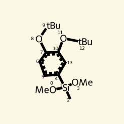 CO[Si](C)(OC)c1ccc(OC(C)(C)C)c(OC(C)(C)C)c1